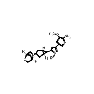 CC(C)n1nc(-c2cnc(N)c(OC(F)(F)F)c2)cc1C1[C@H]2CC(N3C[C@H]4C[C@@H]3CO4)C[C@@H]12